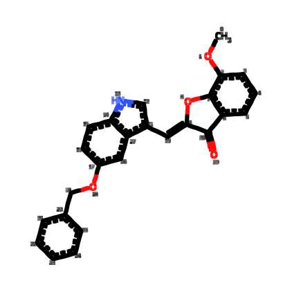 COc1cccc2c1OC(=Cc1c[nH]c3ccc(OCc4ccccc4)cc13)C2=O